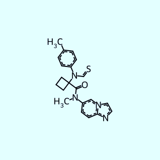 Cc1ccc(N(C=S)C2(C(=O)N(C)c3ccc4nccn4c3)CCC2)cc1